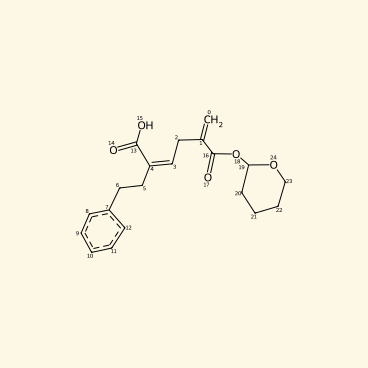 C=C(CC=C(CCc1ccccc1)C(=O)O)C(=O)OC1CCCCO1